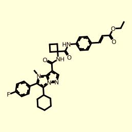 CCOC(=O)/C=C/c1ccc(NC(=O)C2(NC(=O)c3cnn4c(C5CCCCC5)c(-c5ccc(F)cc5)n(C)c34)CCC2)cc1